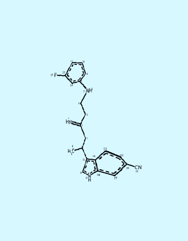 CC(CC(=N)CCNc1cccc(F)c1)c1c[nH]c2cc(C#N)ccc12